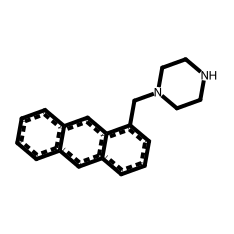 c1ccc2cc3c(CN4CCNCC4)cccc3cc2c1